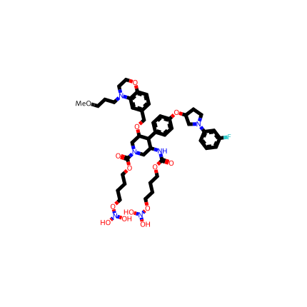 COCCCN1CCOc2ccc(COC3CN(C(=O)OCCCCON(O)O)CC(NC(=O)OCCCCON(O)O)C3c3ccc(OC4CCN(c5cccc(F)c5)C4)cc3)cc21